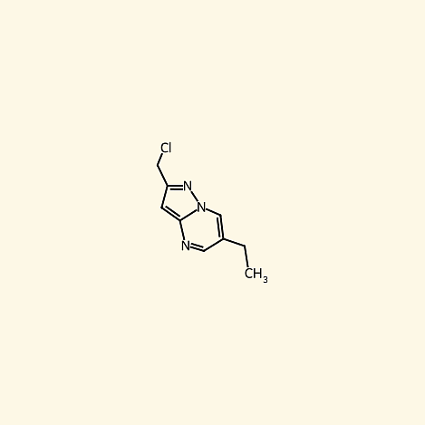 CCc1cnc2cc(CCl)nn2c1